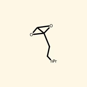 CCCCCC12OC1O2